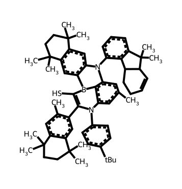 Cc1cc2c3c(c1)N(c1cccc4c1C1CCC=CC1C4(C)C)c1cc4c(cc1B3C(S)=C(c1cc3c(cc1C)C(C)(C)CCC3(C)C)N2c1ccc(C(C)(C)C)cc1)C(C)(C)CCC4(C)C